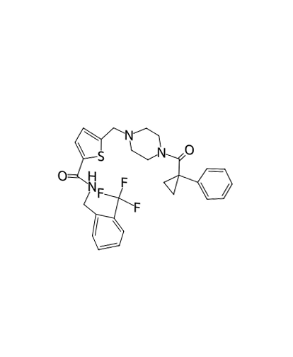 O=C(NCc1ccccc1C(F)(F)F)c1ccc(CN2CCN(C(=O)C3(c4ccccc4)CC3)CC2)s1